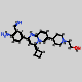 N=Cc1cc(C2=CC(=C3CCC3)N3C=C(C4CCN(CCO)CC4)C=CC3=N2)ccc1N